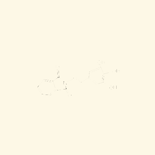 O=C1c2ccccc2C(=O)N1OCc1cc(O)c(O)c(O)c1